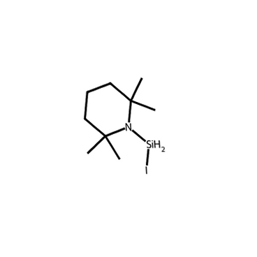 CC1(C)CCCC(C)(C)N1[SiH2]I